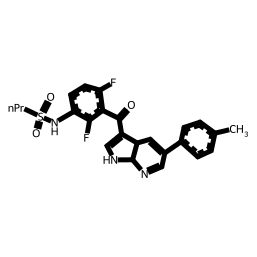 CCCS(=O)(=O)Nc1ccc(F)c(C(=O)C2=CNC3N=CC(c4ccc(C)cc4)=CC23)c1F